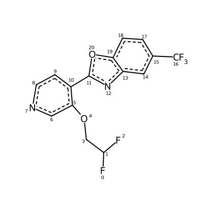 FC(F)COc1cnccc1-c1nc2cc(C(F)(F)F)ccc2o1